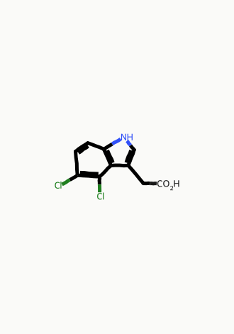 O=C(O)Cc1c[nH]c2ccc(Cl)c(Cl)c12